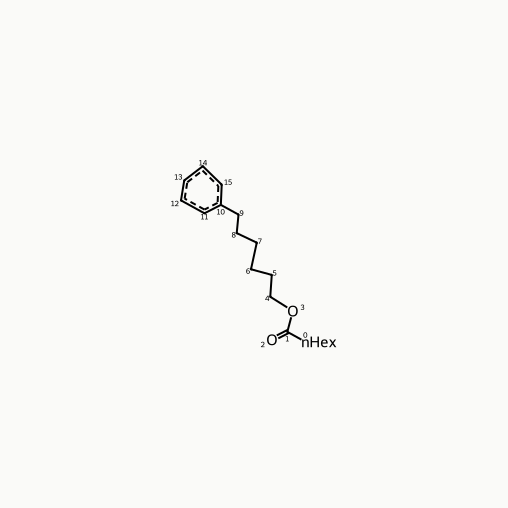 [CH2]CCCCCC(=O)OCCCCCCc1ccccc1